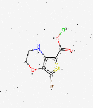 O=C(OCl)c1sc(Br)c2c1NCCO2